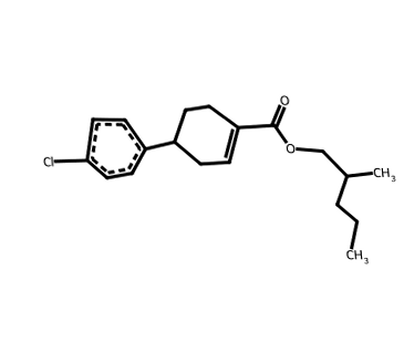 CCCC(C)COC(=O)C1=CCC(c2ccc(Cl)cc2)CC1